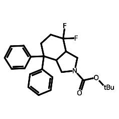 CC(C)(C)OC(=O)N1CC2C(C1)C(c1ccccc1)(c1ccccc1)CCC2(F)F